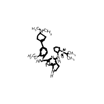 COc1cc(C2=CCC(N(C)C)CC2)ccc1Nc1nc2c(c(Nc3ccccc3S(=O)(=O)C(C)C)n1)CCN2